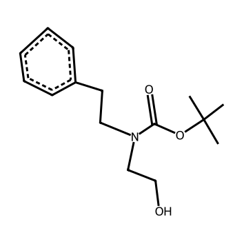 CC(C)(C)OC(=O)N(CCO)CCc1ccccc1